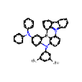 CC(C)(C)c1cc(N2c3ccc(N(c4ccccc4)c4ccccc4)cc3B3c4c2cccc4-n2c4ccccc4c4cccc3c42)cc(C(C)(C)C)c1